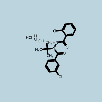 CC(C)(C)N(NC(=O)c1ccccc1Cl)C(=O)c1cccc(Cl)c1.Cl.Cl.Cl